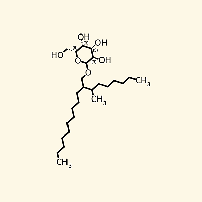 CCCCCCCCCCC(COC1O[C@H](CO)[C@H](O)[C@H](O)[C@H]1O)C(C)CCCCCC